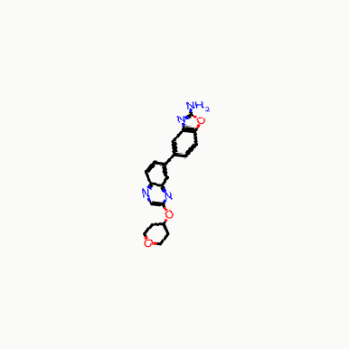 Nc1nc2cc(-c3ccc4ncc(OC5CCOCC5)nc4c3)ccc2o1